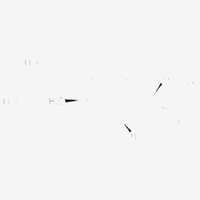 C[C@]12C[C@@H](O)[C@@H](O)CC1=CC[C@@H]1[C@@H]2CC[C@]2(C)C(=O)CC[C@@H]12